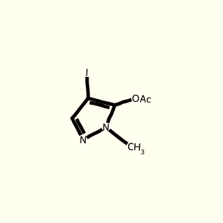 CC(=O)Oc1c(I)cnn1C